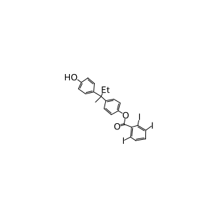 CCC(C)(c1ccc(O)cc1)c1ccc(OC(=O)c2c(I)ccc(I)c2I)cc1